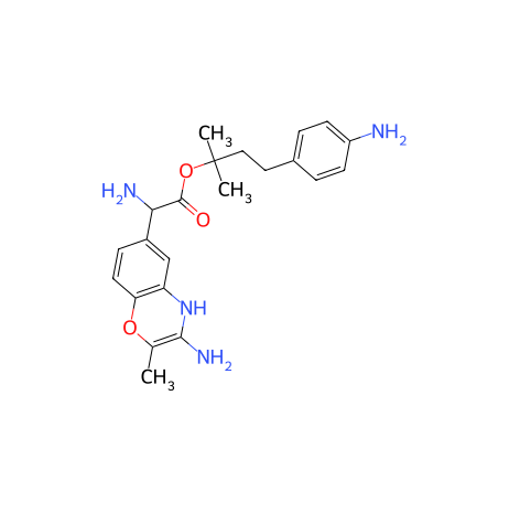 CC1=C(N)Nc2cc(C(N)C(=O)OC(C)(C)CCc3ccc(N)cc3)ccc2O1